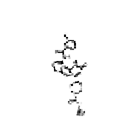 CC(C)(C)OC(=O)N1CCC(c2cc(=O)[nH]c3c4c(NC(=O)c5cccc(F)c5)cccc4nn23)CC1